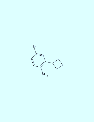 Nc1ccc(Br)cc1C1CCC1